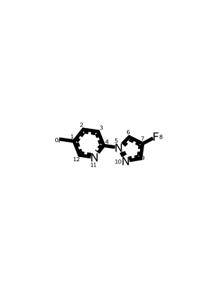 [CH2]c1ccc(-n2cc(F)cn2)nc1